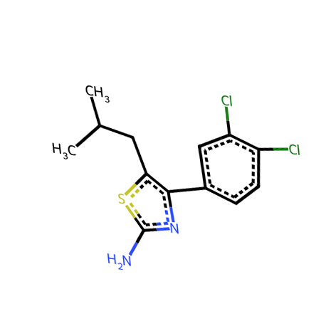 CC(C)Cc1sc(N)nc1-c1ccc(Cl)c(Cl)c1